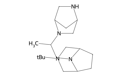 CC(CN1C2CCC1CN(C(C)(C)C)C2)N1CC2CC1CN2